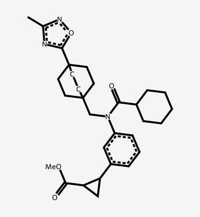 COC(=O)C1CC1c1cccc(N(CC23CCC(c4nc(C)no4)(CC2)CC3)C(=O)C2CCCCC2)c1